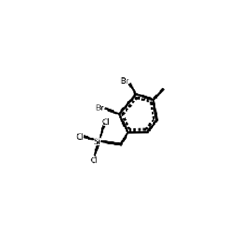 Cc1ccc(C[Si](Cl)(Cl)Cl)c(Br)c1Br